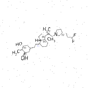 C=C1[C@H](O)CC(=C/C=C2\CCC[C@]3(C)[C@@H]([C@H](C)CN4CC[C@H](CCC(F)F)C4)CC[C@@H]23)C[C@H]1O